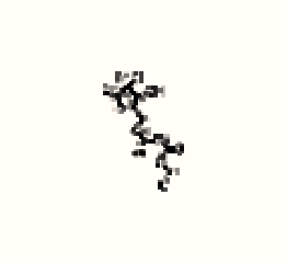 C[C@@H]1O[C@H](CO[PH](=O)O[PH](=O)OP=O)[C@@H](O)[C@]1(F)Cl